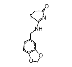 O=C1CSC(NCc2ccc3c(c2)OCO3)=N1